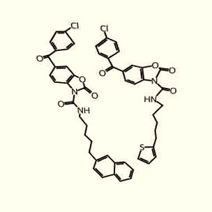 O=C(c1ccc(Cl)cc1)c1ccc2c(c1)oc(=O)n2C(=O)NCCCCCc1ccc2ccccc2c1.O=C(c1ccc(Cl)cc1)c1ccc2c(c1)oc(=O)n2C(=O)NCCCCCc1cccs1